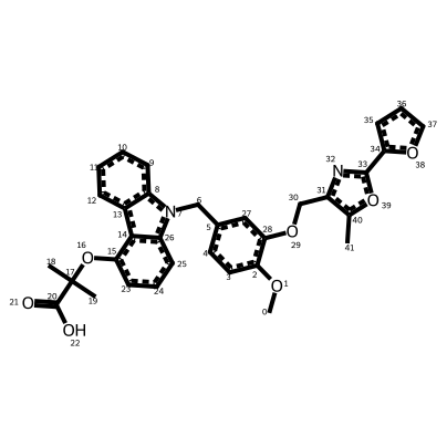 COc1ccc(Cn2c3ccccc3c3c(OC(C)(C)C(=O)O)cccc32)cc1OCc1nc(-c2ccco2)oc1C